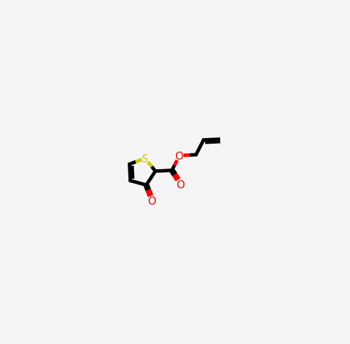 C=CCOC(=O)C1SC=CC1=O